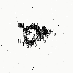 CO[C@@H]1/C(C)=C/[C@@H](C)C(=O)C[C@@H]([C@H](C)C[C@@H]2CC[C@@H](OP(C)(C)=O)[C@H](OC)C2)OC(=O)[C@@H]2CCCCN2C(=O)C(=O)[C@]2(O)O[C@@H](CC[C@H]2C)CC(OCCCN2CCOCC2)/C(C)=C/C=C/C=C/[C@@H](C)C[C@@H](C)C(=O)[C@@H]1OC